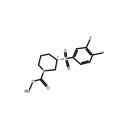 CC(C)(C)OC(=O)N1CCC[C@H](S(=O)(=O)c2ccc(F)c(F)c2)C1